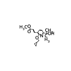 COC(=O)C=Cc1ccc(C(C)(C)O)nc1OCC1CC1